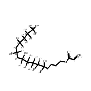 C=CC(=O)OCCCCC(F)(F)C(F)(F)C(F)(F)C(F)(F)C(F)(F)CC(F)(F)CC(F)(F)C(F)(F)C(F)(F)C(F)(F)F